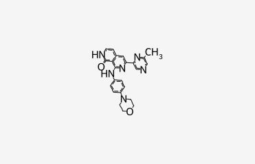 Cc1cncc(-c2cc3cc[nH]c(=O)c3c(Nc3ccc(N4CCOCC4)cc3)n2)n1